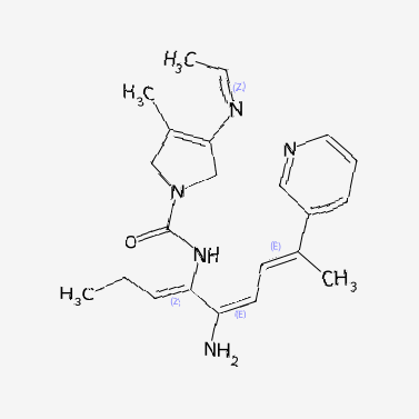 C/C=N\C1=C(C)CN(C(=O)NC(=C\CC)/C(N)=C\C=C(/C)c2cccnc2)C1